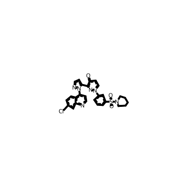 O=c1ccn(-c2cccc(S(=O)(=O)N3CCCCC3)c2)nc1-c1ccnn1-c1ccnc2cc(Cl)ccc12